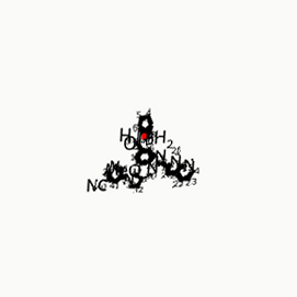 B[C@]1(N)C2CCC1N(C(=O)c1cc(OC)c3c(c1)nc(-c1cc4cccnc4n1C)n3C[C@H]1CCN(c3cncc(C#N)c3)C1)C2